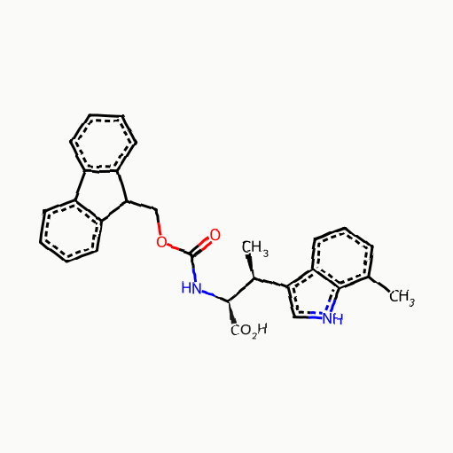 Cc1cccc2c([C@H](C)[C@H](NC(=O)OCC3c4ccccc4-c4ccccc43)C(=O)O)c[nH]c12